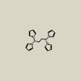 c1ccn(P(CCP(n2cccc2)n2cccc2)n2cccc2)c1